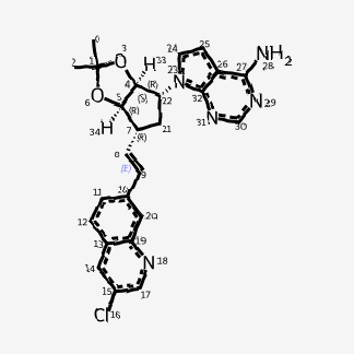 CC1(C)O[C@@H]2[C@H](O1)[C@@H](/C=C/c1ccc3cc(Cl)cnc3c1)C[C@H]2n1ccc2c(N)ncnc21